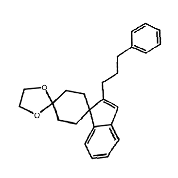 C1=C(CCCc2ccccc2)C2(CCC3(CC2)OCCO3)c2ccccc21